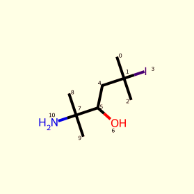 CC(C)(I)CC(O)C(C)(C)N